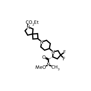 CCOC(=O)N1CCC2(CC(N3CCC(N4CC(F)(F)C[C@@H]4C(=O)N(C)OC)CC3)C2)C1